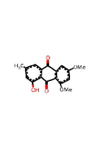 COc1cc(OC)c2c(c1)C(=O)c1cc(C)cc(O)c1C2=O